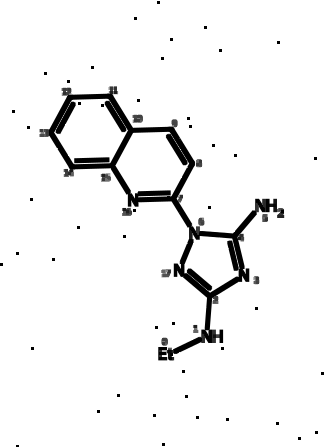 CCNc1nc(N)n(-c2ccc3ccccc3n2)n1